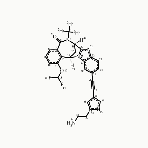 [2H]C([2H])([2H])N1C(=O)c2cccc(OC(F)F)c2[C@H]2C[C@@H]1c1nc3ccc(C#Cc4cnn(CCN)c4)cc3n12